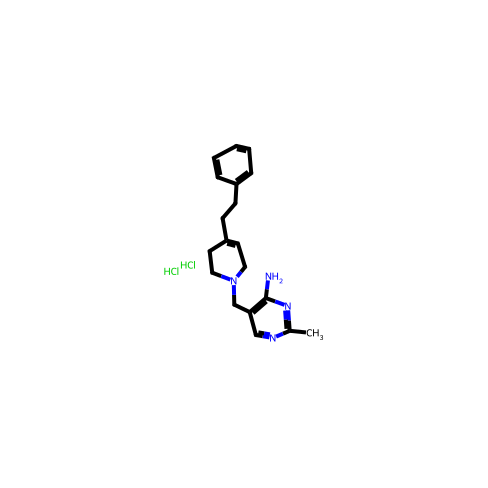 Cc1ncc(CN2CC=C(CCc3ccccc3)CC2)c(N)n1.Cl.Cl